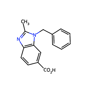 Cc1nc2ccc(C(=O)O)cc2n1Cc1ccccc1